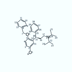 COc1ccc(OCc2ccccc2)c([C@H](CCN(C(C)C)C(C)C)c2ccccc2)c1